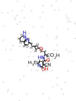 Cc1cc(C(=O)N[C@@H](CCOC2CC(CCc3ccc4c(n3)NCCC4)C2)C(=O)O)c(C#N)c(O)n1